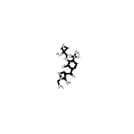 CCn1ncc(C(=O)c2ccc(S(C)(=O)=O)c(OCC3(C)COC3)c2Cl)c1O